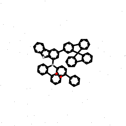 c1ccc(-c2ccc(N(c3ccccc3-c3ccccc3)c3cc(-c4ccc5c(c4)C4(c6ccccc6-c6ccccc64)c4ccccc4-5)cc4c3oc3ccccc34)cc2)cc1